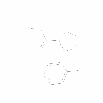 NCC(=O)N1[C@@H](c2ccccc2F)SC[C@H]1C(=O)O